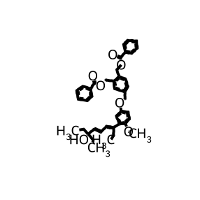 CC/C(=C\C=C\C(O)(CC)CC)c1cc(OCc2ccc(COC(=O)c3ccccc3)c(COC(=O)c3ccccc3)c2)ccc1OC